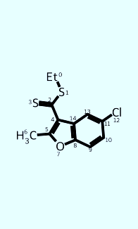 CCSC(=S)c1c(C)oc2ccc(Cl)cc12